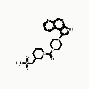 NS(=O)(=O)CC1CCCN(C(=O)N2CCN(c3c[nH]c4ncc5ncccc5c34)CC2)C1